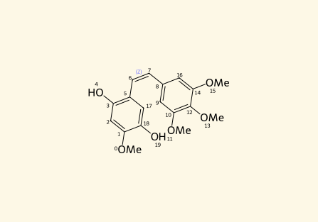 COc1cc(O)c(/C=C\c2cc(OC)c(OC)c(OC)c2)cc1O